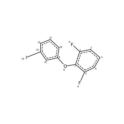 Fc1cccc(F)c1Oc1cccc(I)c1